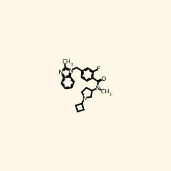 Cc1nc2ccccc2n1Cc1ccc(C(=O)N(C)C2CCN(C3CCC3)C2)c(F)c1